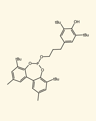 Cc1cc(C(C)(C)C)c2op(OCCCc3cc(C(C)(C)C)c(O)c(C(C)(C)C)c3)oc3c(C(C)(C)C)cc(C)cc3c2c1